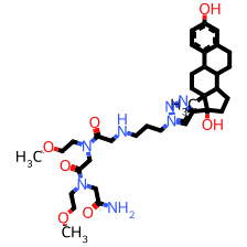 COCCN(CC(N)=O)C(=O)CN(CCOC)C(=O)CNCCCn1cc(C2(O)CCC3C4CCc5cc(O)ccc5C4CCC32C)nn1